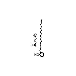 C(OCC1CO1)C1CO1.CCCCCCCCCCCCCCCCCCc1ccccc1O